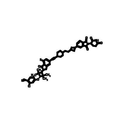 CC1(C)[C@H](Oc2ccc(C#N)c(Cl)c2)C(C)(C)[C@H]1N1Cc2cc(C#CC3CCC(CCC4CN(c5ccc6c(c5)C(=O)N(C5CCC(=O)NC5=O)C6=O)C4)CC3)cc(F)c2C1=O